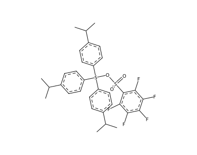 CC(C)c1ccc(S(OS(=O)(=O)c2c(F)c(F)c(F)c(F)c2F)(c2ccc(C(C)C)cc2)c2ccc(C(C)C)cc2)cc1